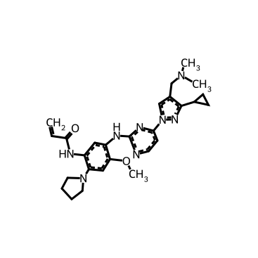 C=CC(=O)Nc1cc(Nc2nccc(-n3cc(CN(C)C)c(C4CC4)n3)n2)c(OC)cc1N1CCCC1